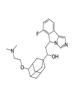 CN(C)CCOC1C2CC3CC1CC(C(O)CC1c4c(F)cccc4-c4cncn41)(C3)C2